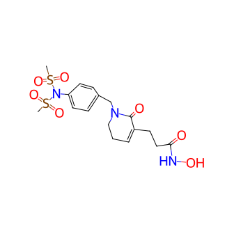 CS(=O)(=O)N(c1ccc(CN2CCC=C(CCC(=O)NO)C2=O)cc1)S(C)(=O)=O